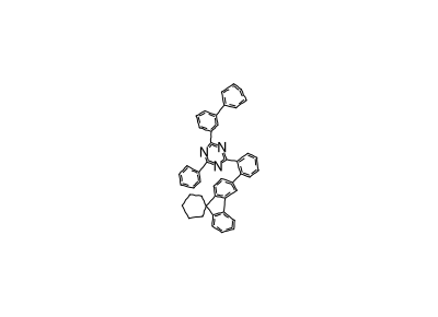 c1ccc(-c2cccc(-c3nc(-c4ccccc4)nc(-c4ccccc4-c4ccc5c(c4)-c4ccccc4C54CCCCC4)n3)c2)cc1